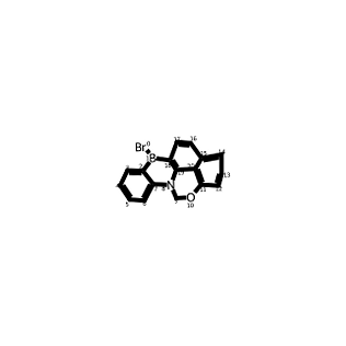 BrB1c2ccccc2N2COc3cccc4ccc1c2c34